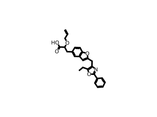 C=CCOC(Cc1ccc2oc(Cc3nc(-c4ccccc4)oc3CC)cc2c1)C(=O)O